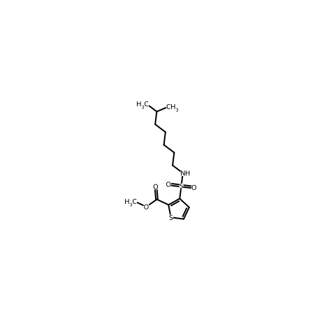 COC(=O)c1sccc1S(=O)(=O)NCCCCCC(C)C